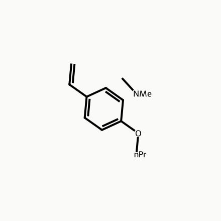 C=Cc1ccc(OCCC)cc1.CNC